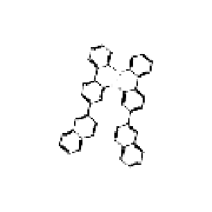 c1ccc2c(c1)-c1ccc(-c3ccc4ccccc4c3)cc1B1c3cc(-c4ccc5ccccc5c4)ccc3-c3ccccc3N12